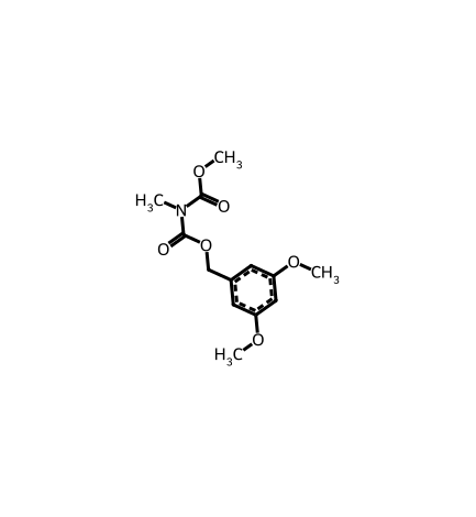 COC(=O)N(C)C(=O)OCc1cc(OC)cc(OC)c1